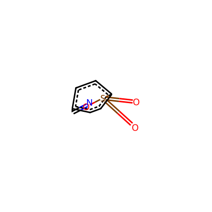 O=S1(=O)O/N=C\c2ccc1cc2